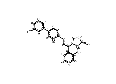 O=C1OCC2C(C=Cc3ccc(-c4cccc(F)c4)cn3)c3ccccc3CN12